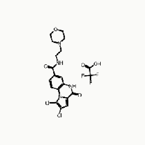 O=C(NCCN1CCOCC1)c1ccc2c(c1)[nH]c(=O)c1cc(Cl)c(Cl)n12.O=C(O)C(F)(F)F